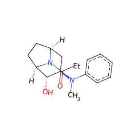 CCC(=O)N1[C@H]2CC[C@@H]1[C@@H](O)[C@H](N(C)c1ccccc1)C2